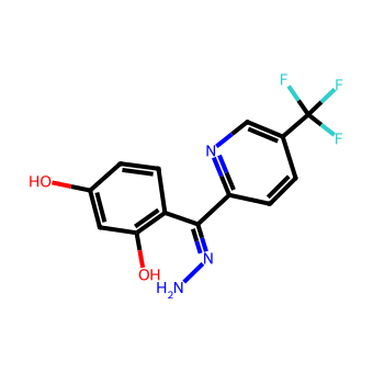 NN=C(c1ccc(C(F)(F)F)cn1)c1ccc(O)cc1O